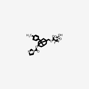 Cc1ccc(C23CC4CC(COC(=O)C(F)(F)S(=O)(=O)O)(CC(OC(=O)n5ccnc5)(C4)C2)C3)cc1